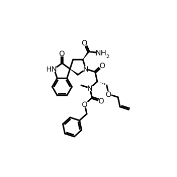 C=CCOC[C@@H](C(=O)N1C[C@]2(C[C@H]1C(N)=O)C(=O)Nc1ccccc12)N(C)C(=O)OCc1ccccc1